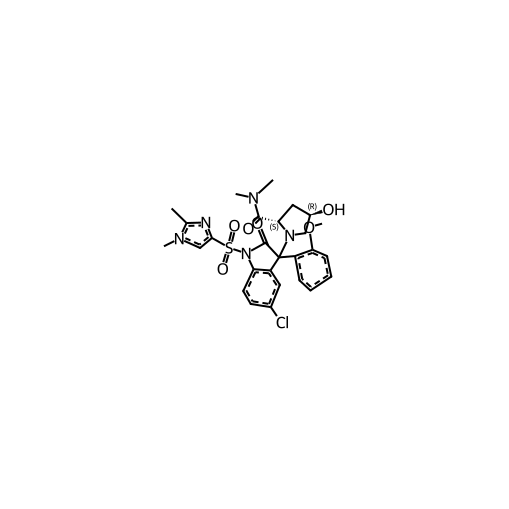 COc1ccccc1C1(N2C[C@H](O)C[C@H]2C(=O)N(C)C)C(=O)N(S(=O)(=O)c2cn(C)c(C)n2)c2ccc(Cl)cc21